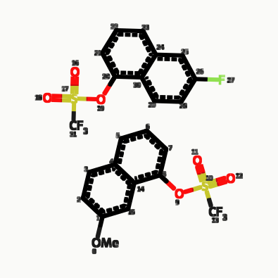 COc1ccc2cccc(OS(=O)(=O)C(F)(F)F)c2c1.O=S(=O)(Oc1cccc2cc(F)ccc12)C(F)(F)F